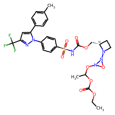 CCOC(=O)OC(C)On1on1N1CC[C@H]1COC(=O)NS(=O)(=O)c1ccc(-n2nc(C(F)(F)F)cc2-c2ccc(C)cc2)cc1